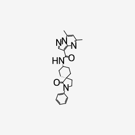 Cc1cc(C)n2ncc(C(=O)N[C@H]3CC[C@@]4(CCN(c5ccccc5)C4=O)CC3)c2n1